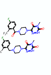 Cn1c(=O)[nH]nc(N2CCN(C(=O)c3ccc(F)cc3C(F)(F)F)CC2)c1=O.Cn1c(=O)[nH]nc(N2CCN(Cc3ccc(F)cc3C(F)(F)F)CC2)c1=O